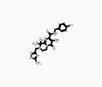 Cc1nc(CN2CCn3c(nc(C(=O)NCc4ccc(F)cc4)c(O)c3=O)C2(C)C)no1